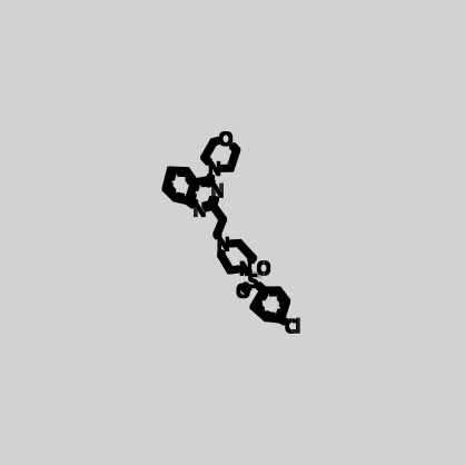 O=S(=O)(c1ccc(Cl)cc1)N1CCN(CCc2nc(N3CCOCC3)c3ccccc3n2)CC1